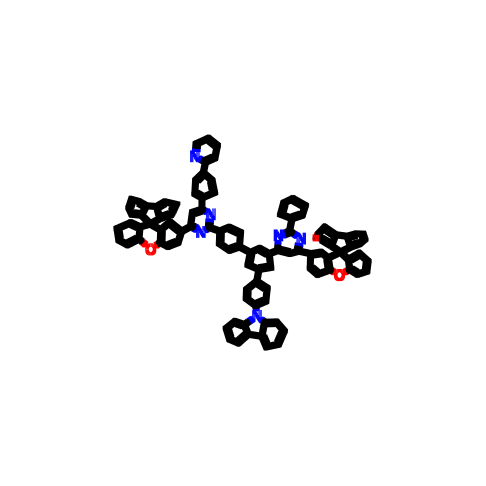 c1ccc(-c2nc(-c3cc(-c4ccc(-c5nc(-c6ccc(-c7ccccn7)cc6)cc(-c6ccc7c(c6)C6(c8ccccc8O7)c7ccccc7-c7ccccc76)n5)cc4)cc(-c4ccc(-n5c6ccccc6c6ccccc65)cc4)c3)cc(-c3ccc4c(c3)C3(c5ccccc5O4)c4ccccc4-c4ccccc43)n2)cc1